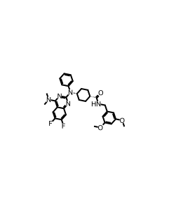 COc1cc(CNC(=O)[C@H]2CC[C@@H](N(c3ccccc3)c3nc(N(C)C)c4cc(F)c(F)cc4n3)CC2)cc(OC)c1